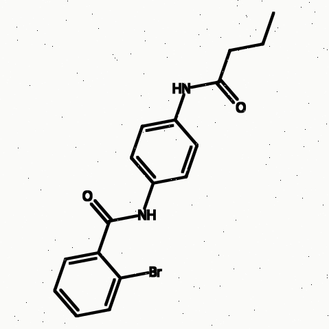 CCCC(=O)Nc1ccc(NC(=O)c2ccccc2Br)cc1